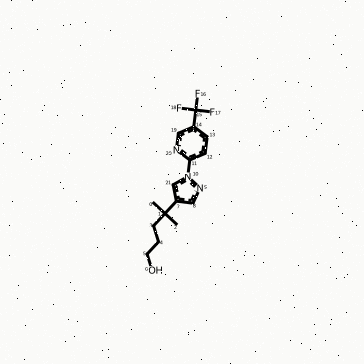 CC(C)(CCCO)c1cnn(-c2ccc(C(F)(F)F)cn2)c1